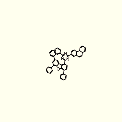 C1=CC2C=Cc3cc(-c4nc(-c5ccccc5)nc(-c5ccc(-c6ccccc6)c6oc7c(-c8ccccc8)cc(-c8ccccc8)cc7c56)n4)ccc3C2C=C1